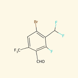 O=Cc1c(C(F)(F)F)cc(Br)c(C(F)F)c1F